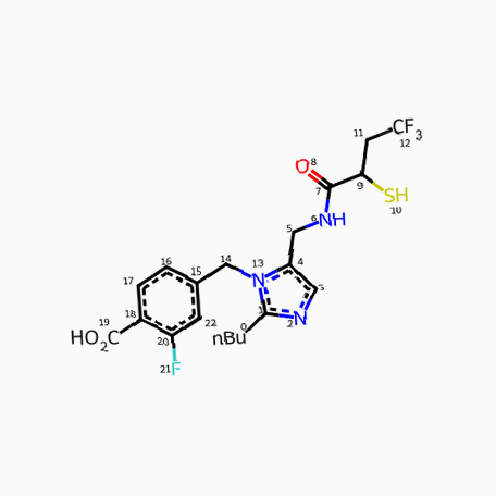 CCCCc1ncc(CNC(=O)C(S)CC(F)(F)F)n1Cc1ccc(C(=O)O)c(F)c1